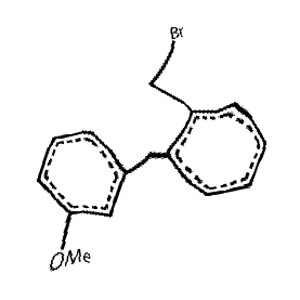 COc1cccc(-c2ccccc2CBr)c1